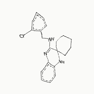 Clc1ccccc1CNC1=Nc2ccccc2NC12CCCCC2